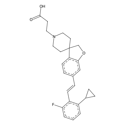 O=C(O)CCN1CCC2(CC1)COc1cc(C=Cc3c(F)cccc3C3CC3)ccc12